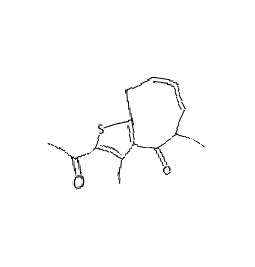 CC(=O)c1sc2c(c1C)C(=O)C(C)C=C=CC2